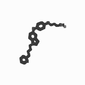 CCCCOc1ccc(Oc2ccc3c(ccn3CCCCc3ccccn3)c2)cc1